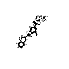 CC(C)[Si](c1ncc(-c2cc(F)c3nc(C4COc5ccccc5C4)[nH]c3c2)o1)(C(C)C)C(C)C